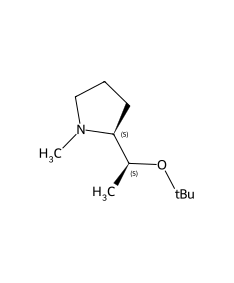 C[C@H](OC(C)(C)C)[C@@H]1CCCN1C